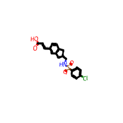 O=C(O)C=Cc1ccc2c(c1)CC(CNS(=O)(=O)c1ccc(Cl)cc1)C2